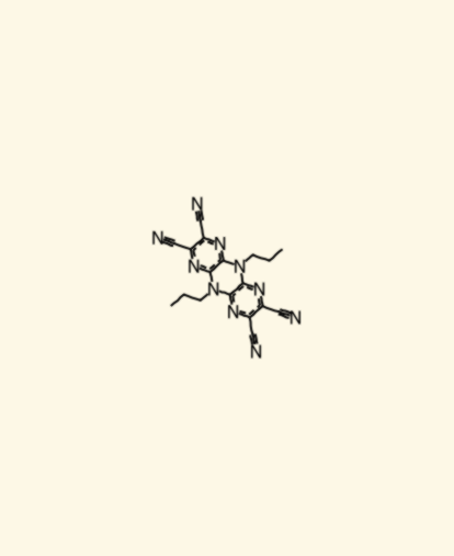 CCCN1c2nc(C#N)c(C#N)nc2N(CCC)c2nc(C#N)c(C#N)nc21